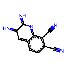 N#Cc1ccc2c(c1C#N)=NC(=N)C(=N)C=2